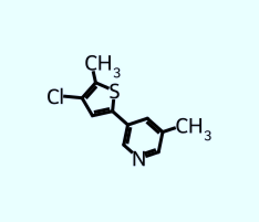 Cc1cncc(-c2cc(Cl)c(C)s2)c1